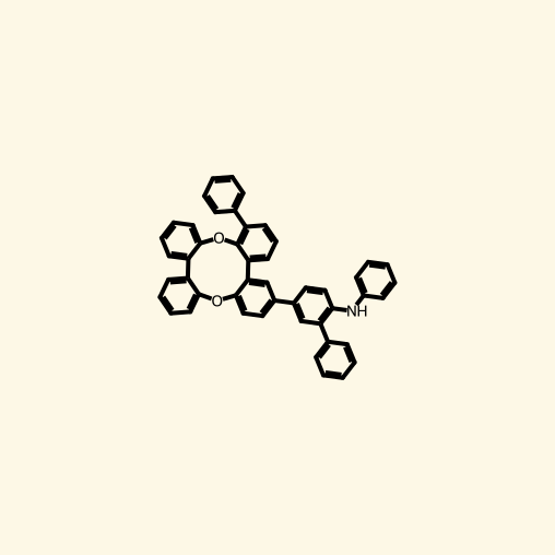 c1ccc(Nc2ccc(-c3ccc4c(c3)-c3cccc(-c5ccccc5)c3Oc3ccccc3-c3ccccc3O4)cc2-c2ccccc2)cc1